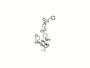 CC(C)c1cnn2c(NC3CCC(C(=O)OC4CCN(C(=O)OCc5ccccc5)C4)CC3)nc(NC3CCOCC3)nc12